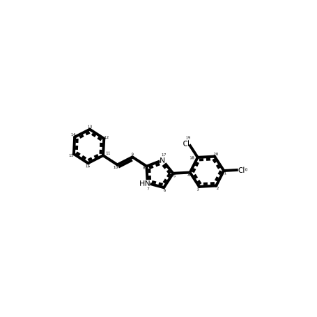 Clc1ccc(-c2c[nH]c(/C=C/c3ccccc3)n2)c(Cl)c1